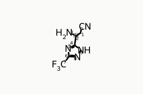 N#CC[C@H](N)c1nc(C(F)(F)F)n[nH]1